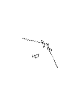 CCCCCCCCCCCCCCCCCC(=O)NCCCN(C)CCOC(=O)CCCCCCCCCCCCCCCCC.Cl